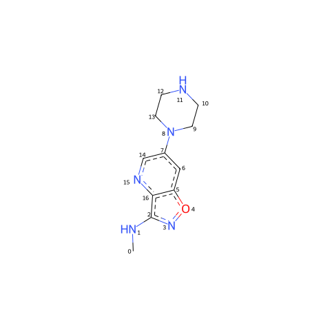 CNc1noc2cc(N3CCNCC3)cnc12